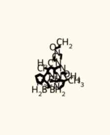 BC(B)=Cc1ccccc1-c1nc2c(cc1Cl)c(N1CCN(C(=O)C=C)C[C@@H]1C)nc(=O)n2-c1c(C(C)C)ccnc1C(C)C